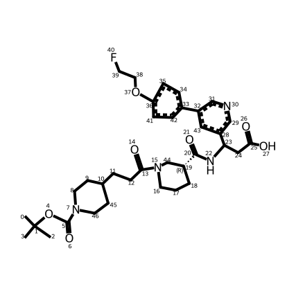 CC(C)(C)OC(=O)N1CCC(CCC(=O)N2CCC[C@@H](C(=O)NC(CC(=O)O)c3cncc(-c4ccc(OCCF)cc4)c3)C2)CC1